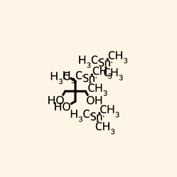 CCC(CO)(CO)CO.[CH3][Sn]([CH3])[CH3].[CH3][Sn]([CH3])[CH3].[CH3][Sn]([CH3])[CH3]